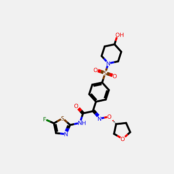 O=C(Nc1ncc(F)s1)/C(=N/O[C@@H]1CCOC1)c1ccc(S(=O)(=O)N2CCC(O)CC2)cc1